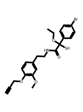 C#CCOc1ccc(CCNC(=O)C(S)(OCC)c2ccc(Br)cc2)cc1OC